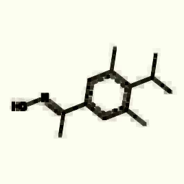 C/C(=N\O)c1cc(C)c(C(C)C)c(C)c1